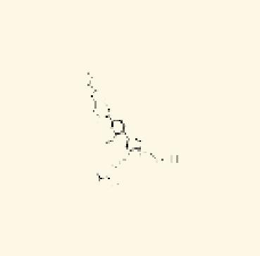 C=C(C)C(=O)OCCCc1cc(-c2ccc(C3CCC(CCCCC)CC3)cc2CC)ccc1OCCO